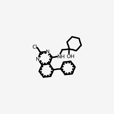 OC1(CNc2nc(Cl)nc3cccc(-c4ccccc4)c23)CCCCC1